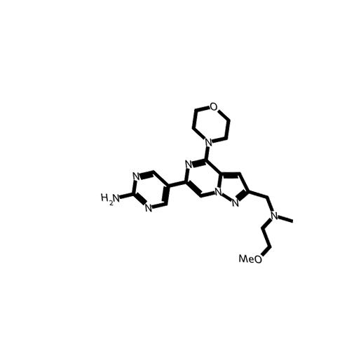 COCCN(C)Cc1cc2c(N3CCOCC3)nc(-c3cnc(N)nc3)cn2n1